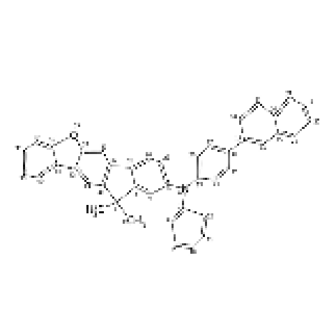 CC1(C)c2cc(N(c3ccccc3)c3ccc(-c4ccc5ccccc5c4)cc3)ccc2-c2cc3oc4ccccc4c3cc21